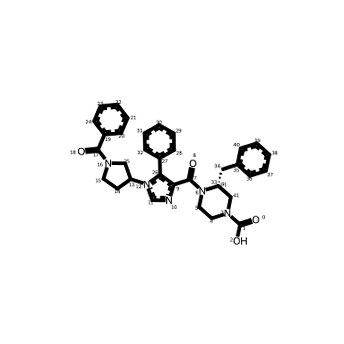 O=C(O)N1CCN(C(=O)c2ncn(C3CCN(C(=O)c4ccccc4)C3)c2-c2ccccc2)[C@H](Cc2ccccc2)C1